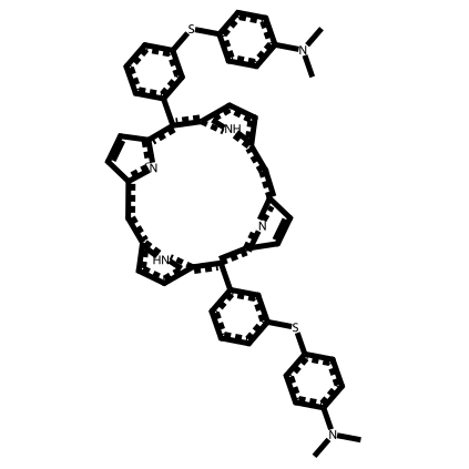 CN(C)c1ccc(Sc2cccc(-c3c4nc(cc5ccc([nH]5)c(-c5cccc(Sc6ccc(N(C)C)cc6)c5)c5nc(cc6ccc3[nH]6)C=C5)C=C4)c2)cc1